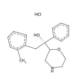 Cc1ccccc1C[C@@](O)(c1ccccc1)C1CNCCO1.Cl